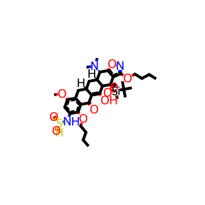 CCCCOc1noc2c1C(=O)[C@@]1(O[Si](C)(C)C(C)(C)C)C(O)=C3C(=O)c4c(c(OC)cc(N[SH](=O)=O)c4OCCCC)C[C@H]3C[C@H]1[C@@H]2N(C)C